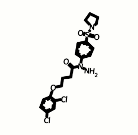 NN(C(=O)CCCOc1ccc(Cl)cc1Cl)c1ccc(S(=O)(=O)N2CCCC2)cc1